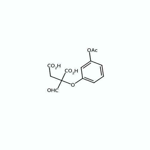 CC(=O)Oc1cccc(OC(C=O)(CC(=O)O)C(=O)O)c1